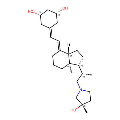 C[C@H](CN1CC[C@](C)(O)C1)[C@H]1CC[C@H]2C(=CC=C3C[C@@H](O)C[C@@H](O)C3)CCC[C@]12C